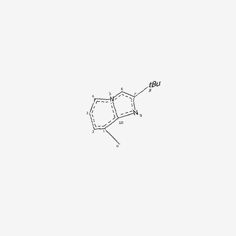 Cc1cccn2cc(C(C)(C)C)nc12